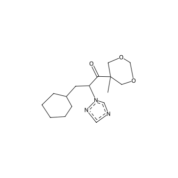 CC1(C(=O)C(CC2CCCCC2)n2cncn2)COCOC1